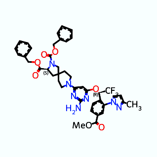 COC(=O)c1ccc([C@@H](Oc2cc(N3CCC4(CC3)C[C@@H](C(=O)OCc3ccccc3)N(C(=O)OCc3ccccc3)C4)nc(N)n2)C(F)(F)F)c(-n2ccc(C)n2)c1